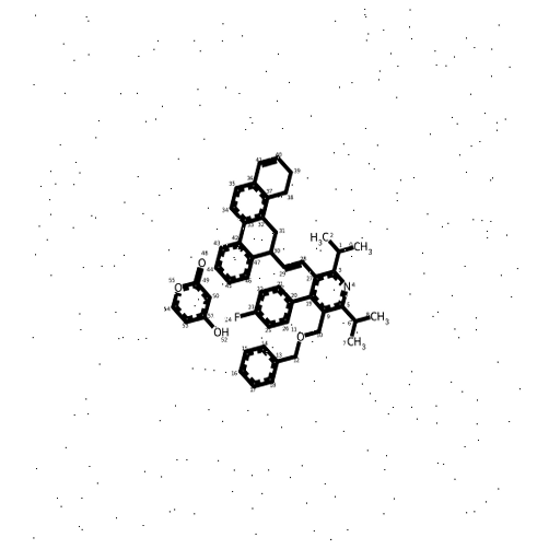 CC(C)c1nc(C(C)C)c(COCc2ccccc2)c(-c2ccc(F)cc2)c1C=CC1Cc2c(ccc3c2CCC=C3)-c2ccccc21.O=c1cc(O)cco1